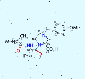 CN[C@@H](C)C(=O)N[C@H](C(=O)N1CCN(Cc2ccc(OC)cc2)C[C@H]1C(=O)O)C(C)C